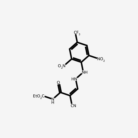 CCOC(=O)NC(=O)C(C#N)=CNNc1c([N+](=O)[O-])cc(C(F)(F)F)cc1[N+](=O)[O-]